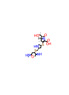 CNC(=O)CC(SC[C@@H]1C[C@H](SC2=C(C(=O)O)N3C(=O)[C@H]([C@@H](C)O)[C@H]3[C@H]2C)CN1)C(C)=N